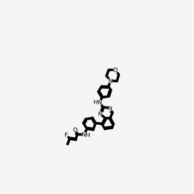 C/C(F)=C/C(=O)Nc1cccc(-c2cccc3cnc(Nc4ccc(N5CCOCC5)cc4)nc23)c1